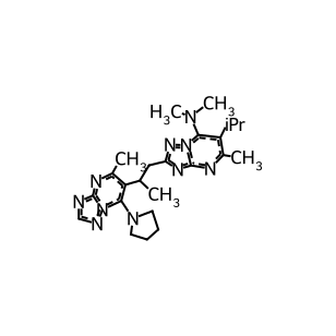 Cc1nc2nc(CC(C)c3c(C)nc4ncnn4c3N3CCCC3)nn2c(N(C)C)c1C(C)C